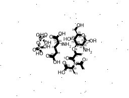 CC(=O)N(C(=O)C(C)O[C@@H]1[C@@H](N)[C@@H](O)O[C@H](CO)[C@H]1O)[C@@H](C)C(=O)O.N[C@H](CCC(=O)O)C(=O)O.O=P(O)(O)OP(=O)(O)O